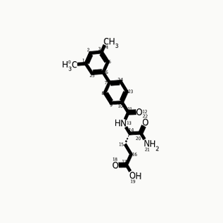 Cc1cc(C)cc(-c2ccc(C(=O)N[C@@H](CCC(=O)O)C(N)=O)cc2)c1